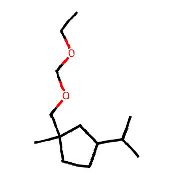 CCOCOCC1(C)CCC(C(C)C)C1